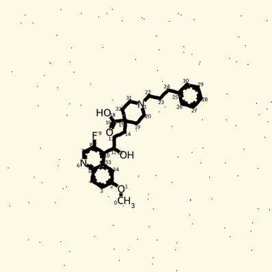 COc1ccc2ncc(F)c(C(O)CCC3(C(=O)O)CCN(CCCc4ccccc4)CC3)c2c1